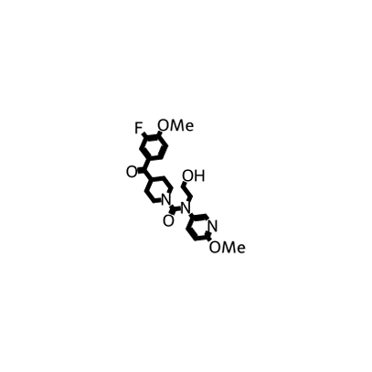 COc1ccc(N(CCO)C(=O)N2CCC(C(=O)c3ccc(OC)c(F)c3)CC2)cn1